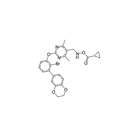 Cc1nc(Oc2cccc(-c3ccc4c(c3)OCCO4)c2Br)nc(C)c1CNOC(=O)C1CC1